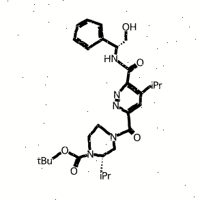 CC(C)c1cc(C(=O)N2CCN(C(=O)OC(C)(C)C)[C@@H](C(C)C)C2)nnc1C(=O)N[C@@H](CO)c1ccccc1